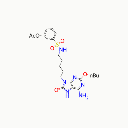 CCCCOc1nc(N)c2[nH]c(=O)n(CCCCCNS(=O)(=O)c3cccc(OC(C)=O)c3)c2n1